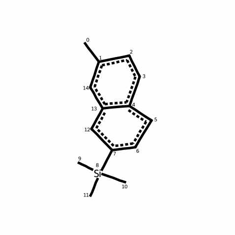 Cc1ccc2ccc([Si](C)(C)C)cc2c1